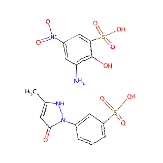 Cc1cc(=O)n(-c2cccc(S(=O)(=O)O)c2)[nH]1.Nc1cc([N+](=O)[O-])cc(S(=O)(=O)O)c1O